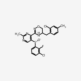 Cc1ccc(CC2CON=C(c3nc(C)ncc3[S+]([O-])c3cccc(Cl)c3F)N2)c(Cl)c1